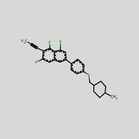 CC1CCC(CSc2ccc(-c3cc(F)c4c(F)c(C#CC(F)(F)F)c(F)cc4c3)cc2)CC1